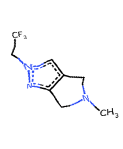 CN1Cc2cn(CC(F)(F)F)nc2C1